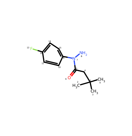 CC(C)(C)CC(=O)N(N)c1ccc(F)cc1